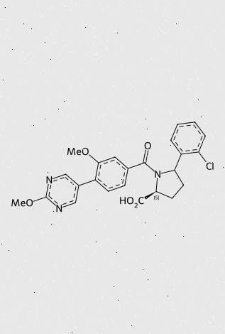 COc1ncc(-c2ccc(C(=O)N3C(c4ccccc4Cl)CC[C@H]3C(=O)O)cc2OC)cn1